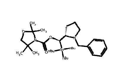 CCC[CH2][Sn]([CH2]CCC)([CH2]CCC)[C@@H](OC(=O)N1C(C)(C)COC1(C)C)[C@@H]1CCCN1Cc1ccccc1